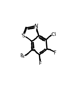 Fc1c(F)c(Br)c2scnc2c1Cl